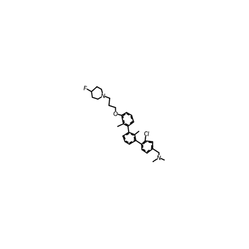 Cc1c(OCCCN2CCC(F)CC2)cccc1-c1cccc(-c2ccc(CN(C)C)cc2Cl)c1C